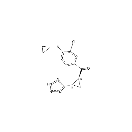 CN(c1ccc(C(=O)[C@H]2C[C@@H]2c2nn[nH]n2)cc1Cl)C1CC1